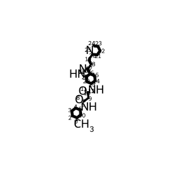 Cc1cccc(NC(=O)CC(=O)Nc2ccc3c(C=Cc4ccccn4)n[nH]c3c2)c1